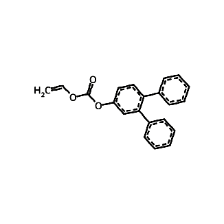 C=COC(=O)Oc1ccc(-c2ccccc2)c(-c2ccccc2)c1